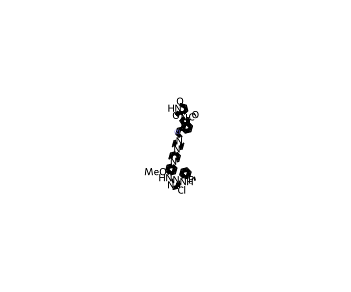 COc1cc(N2CCC(N3CCN(C/C=C\c4cccc5c4CN(C4CCC(=O)NC4=O)C5=C=O)CC3)CC2)ccc1Nc1ncc(Cl)c(Nc2ccccc2P(C)C)n1